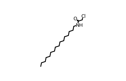 CCCCCCCCCCCCCCCCNC(=O)CCl